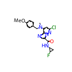 COc1ccc(CN(C)c2cc(Cl)nn3c(C(=O)N[C@@H]4C[C@H]4F)cnc23)cc1